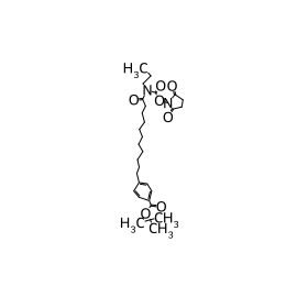 CCCN(C(=O)CCCCCCCCCCc1ccc(C(=O)OC(C)(C)C)cc1)C(=O)ON1C(=O)CCC1=O